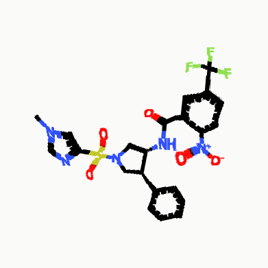 Cn1cnc(S(=O)(=O)N2C[C@H](NC(=O)c3cc(C(F)(F)F)ccc3[N+](=O)[O-])[C@@H](c3ccccc3)C2)c1